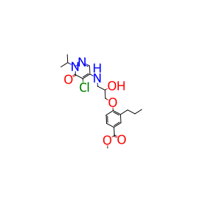 CCCc1cc(C(=O)OC)ccc1OCC(O)CNc1cnn(C(C)C)c(=O)c1Cl